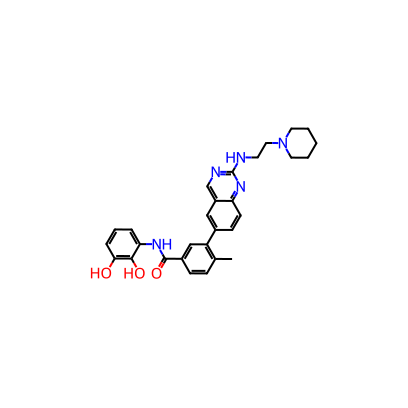 Cc1ccc(C(=O)Nc2cccc(O)c2O)cc1-c1ccc2nc(NCCN3CCCCC3)ncc2c1